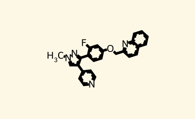 Cn1cc(-c2ccncc2)c(-c2ccc(OCc3ccc4ccccc4n3)cc2F)n1